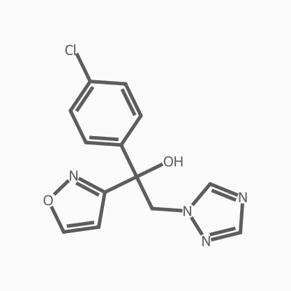 OC(Cn1cncn1)(c1ccc(Cl)cc1)c1ccon1